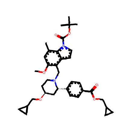 COc1cc(C)c2c(ccn2C(=O)OC(C)(C)C)c1CN1CC[C@H](OCC2CC2)C[C@H]1c1ccc(C(=O)OCC2CC2)cc1